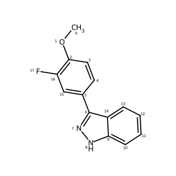 COc1ccc(-c2n[nH]c3ccccc23)cc1F